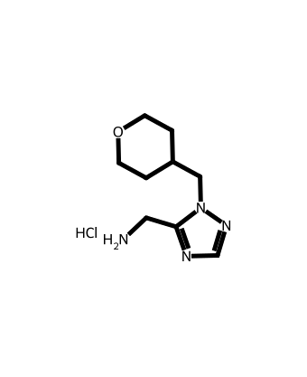 Cl.NCc1ncnn1CC1CCOCC1